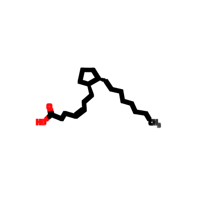 CCCCCCCC[C@H]1CCC[C@@H]1CC/C=C\CCC(=O)O